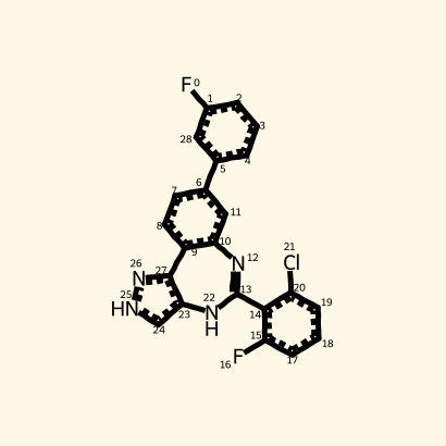 Fc1cccc(-c2ccc3c(c2)N=C(c2c(F)cccc2Cl)Nc2c[nH]nc2-3)c1